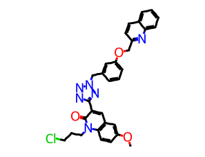 COc1ccc2c(c1)cc(-c1nnn(Cc3cccc(OCc4ccc5ccccc5n4)c3)n1)c(=O)n2CCCCl